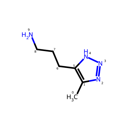 Cc1nn[nH]c1CCCN